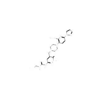 CCNC(=O)Nc1cc(CN2CCN(c3ccc(-n4cccn4)nc3C)CC2)c(=O)[nH]n1